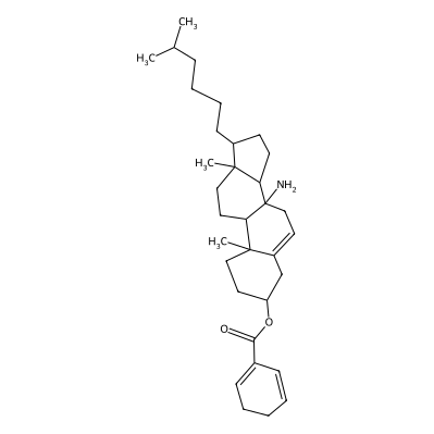 CC(C)CCCCC1CCC2C1(C)CCC1C3(C)CCC(OC(=O)C4=CCCC=C4)CC3=CCC12N